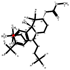 COC(=O)C[C@@H]1CCN([C@H](CCC(C)(C)C)CCC(F)(F)F)[C@](O)(c2ccc(C(F)(F)F)cc2)C1(F)F